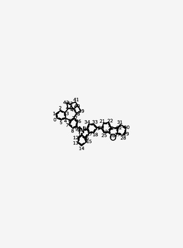 c1ccc2c(c1)-c1ccc(-n3c4ccccc4c4cc(-c5ccc6c(c5)oc5ccccc56)ccc43)cc1C1CC3CC4CC2C431